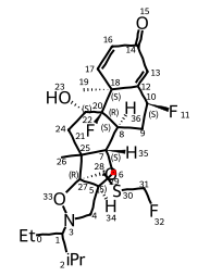 CCC(C(C)C)N1C[C@@H]2C[C@H]3[C@@H]4C[C@H](F)C5=CC(=O)C=C[C@]5(C)[C@@]4(F)[C@@H](O)CC3(C)[C@]2(C(=O)SCF)O1